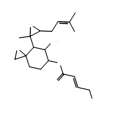 COC1C(OC(=O)/C=C/COC(C)=O)CCC2(CO2)C1C1(C)OC1CC=C(C)C